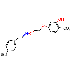 CC(C)(C)c1ccc(CC=NOCCOc2ccc(C(=O)O)c(O)c2)cc1